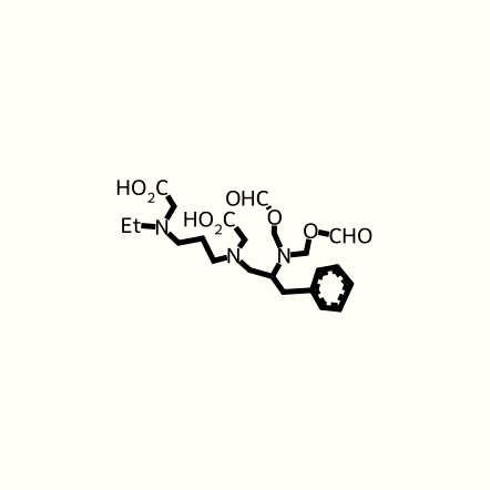 CCN(CCCN(CC(=O)O)CC(Cc1ccccc1)N(COC=O)COC=O)CC(=O)O